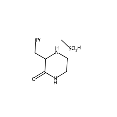 CC(C)CC1NCCNC1=O.CS(=O)(=O)O